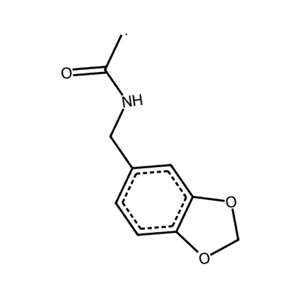 [CH2]C(=O)NCc1ccc2c(c1)OCO2